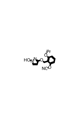 CC(C)Oc1cccc(OC#N)c1COc1ccn(O)n1